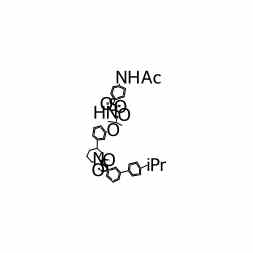 CC(=O)Nc1ccc(S(=O)(=O)NC(=O)C(C)(C)Oc2cccc(C3CCCN(S(=O)(=O)c4cccc(-c5ccc(C(C)C)cc5)c4)C3)c2)cc1